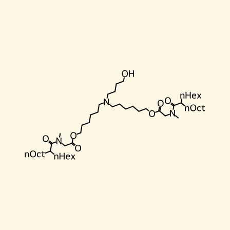 CCCCCCCCC(CCCCCC)C(=O)N(C)CC(=O)OCCCCCCN(CCCCO)CCCCCCOC(=O)CN(C)C(=O)C(CCCCCC)CCCCCCCC